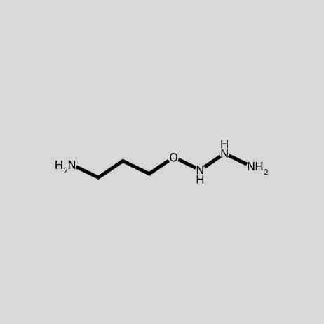 NCCCONNN